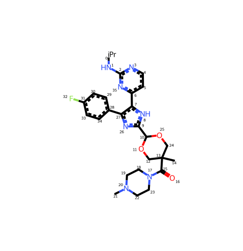 CC(C)Nc1nccc(-c2[nH]c(C3OCC(C)(C(=O)N4CCN(C)CC4)CO3)nc2-c2ccc(F)cc2)n1